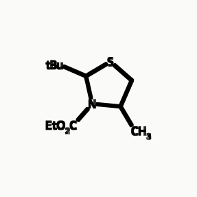 CCOC(=O)N1C(C)CSC1C(C)(C)C